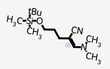 CN(C)/C=C(\C#N)CCCO[Si](C)(C)C(C)(C)C